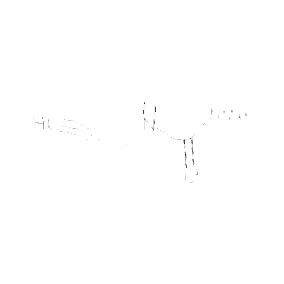 C#CCNC(=O)NC